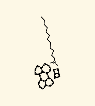 CCCCCCCCCCCCN(C)C.c1cc2ccc1-2.c1cc2cccc3c4cccc5cccc(c(c1)c23)c54